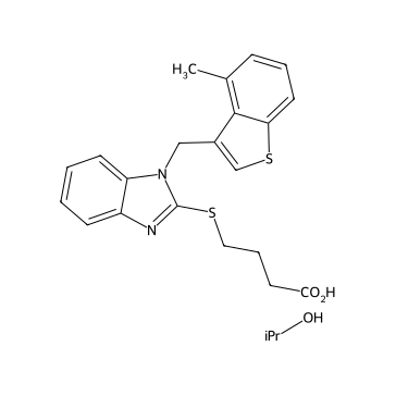 CC(C)O.Cc1cccc2scc(Cn3c(SCCCC(=O)O)nc4ccccc43)c12